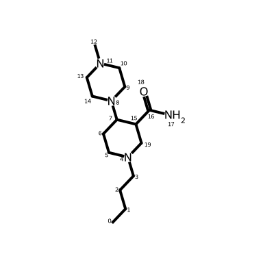 CCCCN1CCC(N2CCN(C)CC2)C(C(N)=O)C1